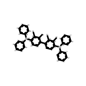 Cc1c(-c2ccc(N(c3ccccc3)c3ccccc3)c(C)c2C)ccc(N(c2ccccc2)c2ccccc2)c1C